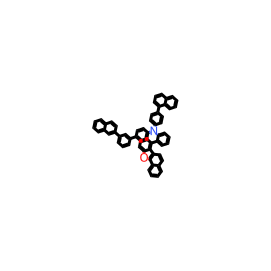 c1cc(-c2ccc(N(c3ccc(-c4cccc5ccccc45)cc3)c3ccccc3-c3cccc4oc5c6ccccc6ccc5c34)cc2)cc(-c2ccc3ccccc3c2)c1